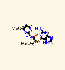 COC[C@H](Sc1nc(N)nc2nc[nH]c12)C(=O)Nc1nccc(OC)n1